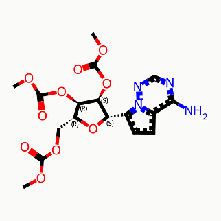 COC(=O)OC[C@H]1O[C@@H](c2ccc3c(N)ncnn23)[C@H](OC(=O)OC)[C@@H]1OC(=O)OC